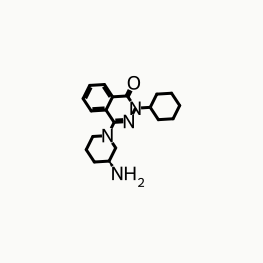 N[C@H]1CCCN(c2nn(C3CCCCC3)c(=O)c3ccccc23)C1